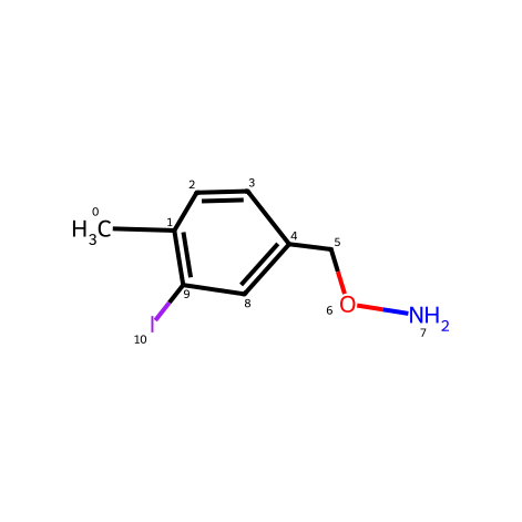 Cc1ccc(CON)cc1I